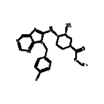 COC(=O)N1CC[C@@H](Nc2nc3cncnc3n2Cc2ccc(F)cc2)[C@@H](C)C1